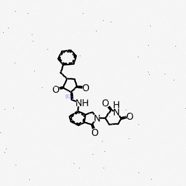 O=C1CCC(N2Cc3c(N/C=C4\C(=O)CC(Cc5ccccc5)C4=O)cccc3C2=O)C(=O)N1